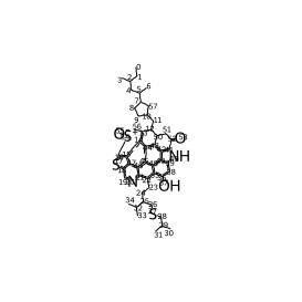 CCC(C)CC(C)C1CCC(CC2C3=c4c5c(sc6cnc7c(CCC(CSCC(C)C)C(C)C)c8c(O)cc9[nH]c%10c%11c(c4c(c7c65)c8c9%11)C2CC%10=O)[S+]([O-])C3)C1